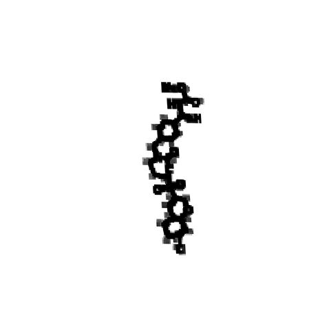 COC(=O)NC(=N)c1ccc(CN2CCN(S(=O)(=O)C3=Cc4ccc(Cl)cc4OC3)CC2=O)cc1